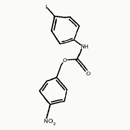 O=C(Nc1ccc(I)cc1)Oc1ccc([N+](=O)[O-])cc1